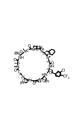 CC[C@H](C)[C@@H]1NC(=O)[C@H](C)N(C)C(=O)C[C@@H](C)N(C)C(=O)[C@H](CC(C)C)NC(=O)C(C)(C)N(C)C(=O)[C@H](CC(C)C)NC(=O)[C@H](CCc2ccc(C(F)(F)F)c(Cl)c2)NC(=O)[C@@H](C)N(C)C(=O)[C@H](CC2CCCCC2)N(C)C(=O)[C@@H]2CCN2C(=O)CN(C)C1=O